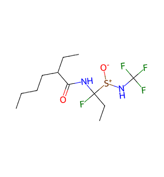 CCCCC(CC)C(=O)NC(F)(CC)[S+]([O-])NC(F)(F)F